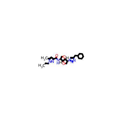 CCCn1nc(C(=O)N[C@H]2CO[C@H]3[C@@H]2OC[C@@H]3n2cc(CC3CCCCC3)nn2)cc1C